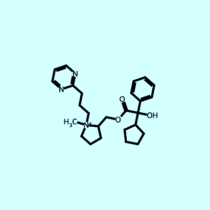 C[N+]1(CCCc2ncccn2)CCCC1COC(=O)C(O)(c1ccccc1)C1CCCC1